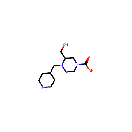 O=C(O)N1CCN(CC2CCNCC2)C(CO)C1